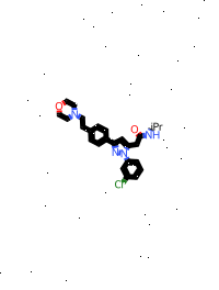 CC(C)NC(=O)Cc1cc(-c2ccc(CCN3CCOCC3)cc2)nn1-c1cccc(Cl)c1